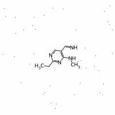 CCc1ncc(C=N)c(NC)n1